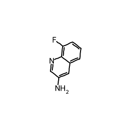 Nc1cnc2c(F)cccc2c1